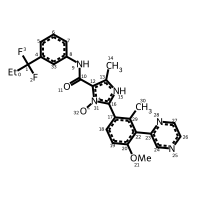 CCC(F)(F)c1cccc(NC(=O)c2c(C)[nH]c(-c3ccc(OC)c(-c4cnccn4)c3C)[n+]2[O-])c1